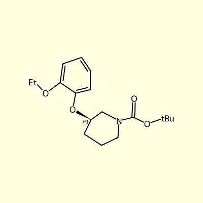 CCOc1ccccc1O[C@@H]1CCCN(C(=O)OC(C)(C)C)C1